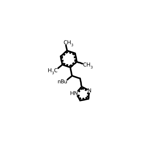 CCCCC(Cc1ncc[nH]1)c1c(C)cc(C)cc1C